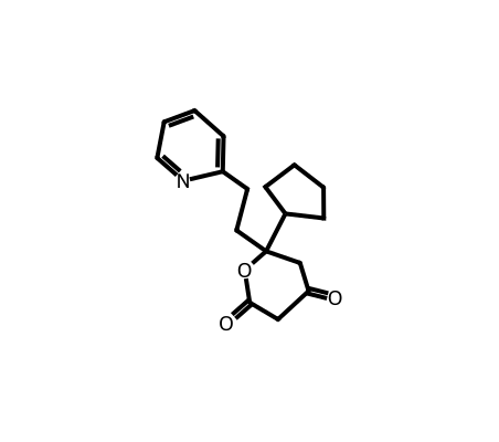 O=C1CC(=O)OC(CCc2ccccn2)(C2CCCC2)C1